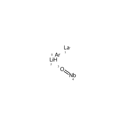 [Ar].[La].[LiH].[O]=[Nb]